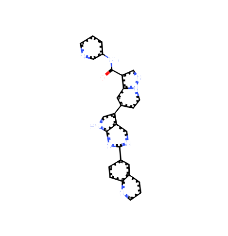 O=C(Nc1cccnc1)c1cnn2ccc(-c3c[nH]c4nc(-c5ccc6ncccc6c5)ncc34)cc12